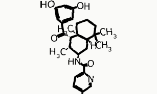 C[C@H]1[C@H](NC(=O)c2ccccn2)C[C@H]2C(C)(C)CCC[C@]2(C)[C@H]1C(=O)c1cc(O)cc(O)c1